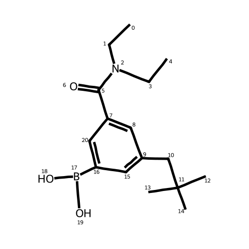 CCN(CC)C(=O)c1cc(CC(C)(C)C)cc(B(O)O)c1